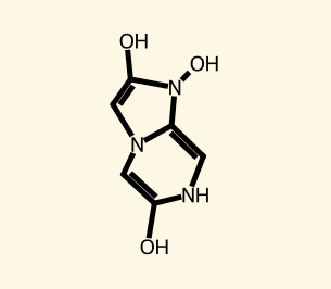 OC1=CN2C=C(O)N(O)C2=CN1